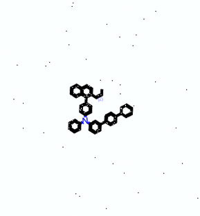 C/C=C\c1ccc2ccccc2c1-c1ccc(N(c2ccccc2)c2cccc(-c3ccc(C4C=CC=CC4)cc3)c2)cc1